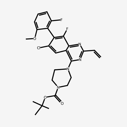 C=Cc1nc(N2CCN(C(=O)OC(C)(C)C)CC2)c2cc(Cl)c(-c3c(F)cccc3OC)c(F)c2n1